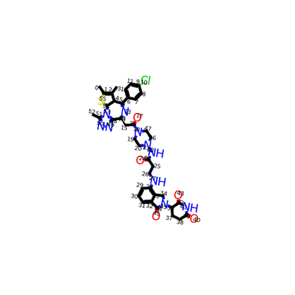 CC1=C(C)C2C(c3ccc(Cl)cc3)=N[C@@H](CC(=O)N3CCN(NC(=O)CCNc4cccc5c4CN(C4CCC(=O)NC4=O)C5=O)CC3)c3nnc(C)n3C2S1